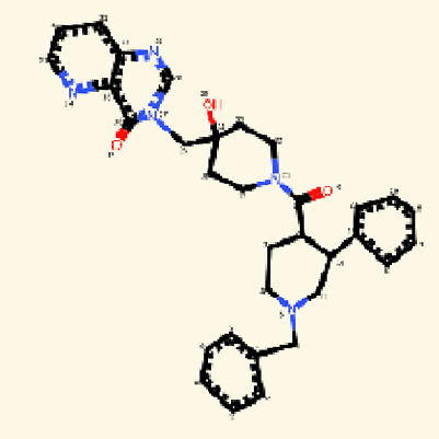 O=C(C1CCN(Cc2ccccc2)CC1c1ccccc1)N1CCC(O)(Cn2cnc3cccnc3c2=O)CC1